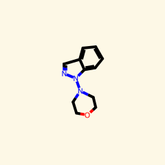 c1ccc2c(c1)cnn2N1CCOCC1